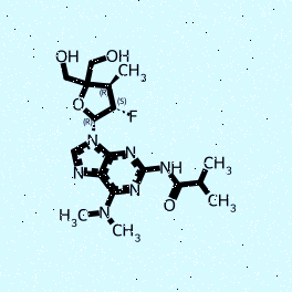 CC(C)C(=O)Nc1nc(N(C)C)c2ncn([C@@H]3OC(CO)(CO)[C@@H](C)[C@@H]3F)c2n1